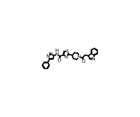 O=C(NC1C=C(c2ccccc2)N=N1)c1csc(C2CCN(C(=O)CC3C=Nc4ccccc43)CC2)n1